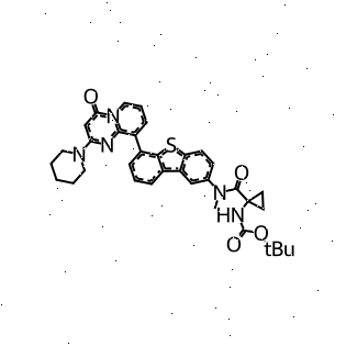 CN(C(=O)C1(NC(=O)OC(C)(C)C)CC1)c1ccc2sc3c(-c4cccn5c(=O)cc(N6CCCCC6)nc45)cccc3c2c1